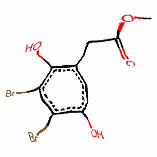 COC(=O)Cc1cc(O)c(Br)c(Br)c1O